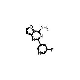 Nc1nc(-c2cncc(F)c2)nc2ccoc12